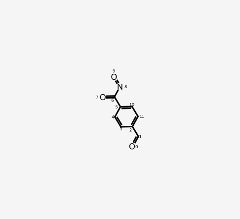 O=Cc1ccc(C(=O)N=O)cc1